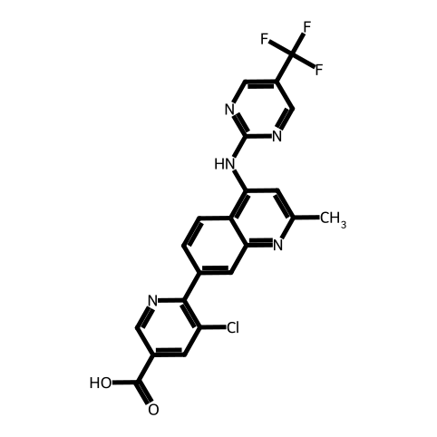 Cc1cc(Nc2ncc(C(F)(F)F)cn2)c2ccc(-c3ncc(C(=O)O)cc3Cl)cc2n1